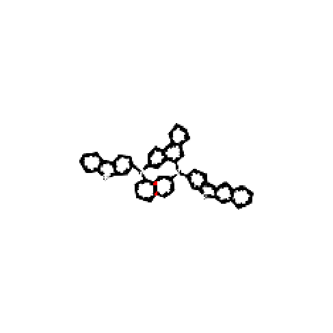 c1ccc(N(c2ccc3c(c2)oc2ccccc23)c2ccc3c(c2)c(N(c2ccccc2)c2ccc4c(c2)sc2cc5ccccc5cc24)cc2ccccc23)cc1